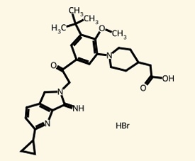 Br.COc1c(N2CCC(CC(=O)O)CC2)cc(C(=O)CN2Cc3ccc(C4CC4)nc3C2=N)cc1C(C)(C)C